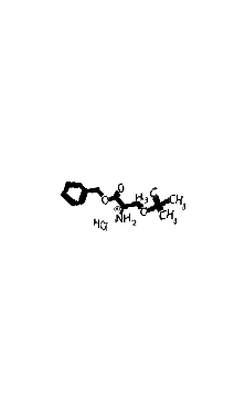 CC(C)(C)OC[C@@H](N)C(=O)OCc1ccccc1.Cl